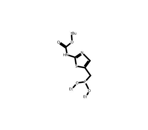 CCOP(Cc1cnc(NC(=O)OC(C)(C)C)s1)OCC